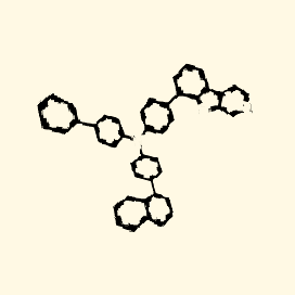 c1ccc(-c2ccc(N(c3ccc(-c4cccc5ccccc45)cc3)c3ccc(-c4cccc5c4oc4cnccc45)cc3)cc2)cc1